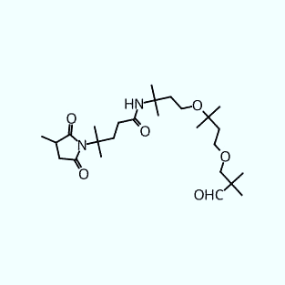 CC1CC(=O)N(C(C)(C)CCC(=O)NC(C)(C)CCOC(C)(C)CCOCC(C)(C)C=O)C1=O